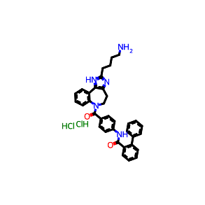 Cl.Cl.NCCCCc1nc2c([nH]1)-c1ccccc1N(C(=O)c1ccc(NC(=O)c3ccccc3-c3ccccc3)cc1)CC2